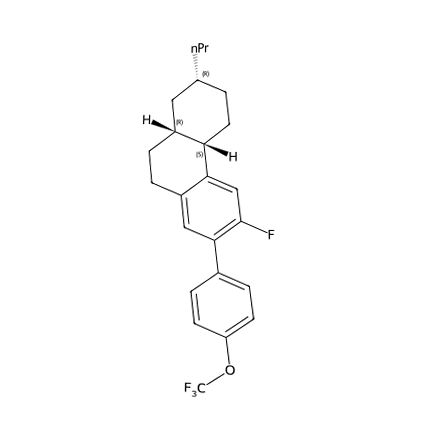 CCC[C@@H]1CC[C@@H]2c3cc(F)c(-c4ccc(OC(F)(F)F)cc4)cc3CC[C@@H]2C1